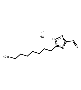 CCCCCCCCCCCCCCCCCc1nc(C=S)n[nH]1.[K+].[OH-]